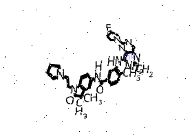 C=C/N=C1/C=NC(N2CC[C@@H](F)C2)=N/C1=C(/N)Nc1cc(C(=O)Nc2ccc3c(c2)C(C)(C)C(=O)N3CCN2CCCC2)ccc1C